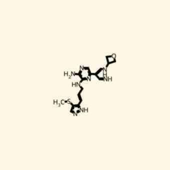 CSc1cn[nH]c1/C=C/CNc1nc(/C(C=N)=C/NC2COC2)cnc1N